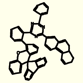 C1=CC2=c3ccc(-c4nc(-c5ccccc5)nc(-c5ccccc5-c5cccc6c5Oc5ccccc5C65c6ccccc6-c6ccccc65)n4)cc3=CCC2CC1